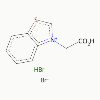 Br.O=C(O)C[n+]1csc2ccccc21.[Br-]